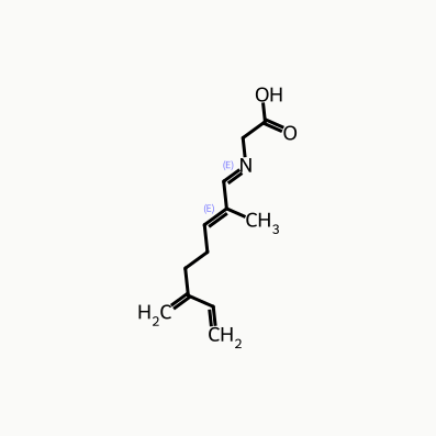 C=CC(=C)CC/C=C(C)/C=N/CC(=O)O